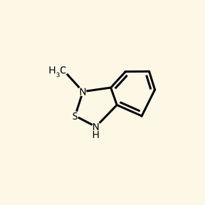 CN1SNc2ccccc21